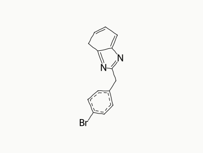 Brc1ccc(CC2=NC3=CC=CCC3=N2)cc1